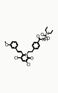 CCN(CC)S(=O)(=O)NC(=O)c1ccc(CCn2c(/C=C/c3cccc(OC)c3)c(Cl)cc(Cl)c2=O)cc1